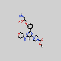 CCOC(=O)N1CCN(c2nc(-c3cccc(OCC(O)CNC)c3)nc(NC3CCOCC3)c2C)CC1